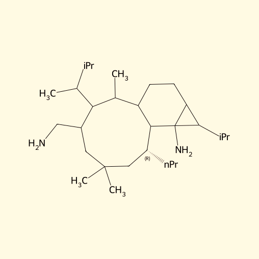 CCC[C@@H]1CC(C)(C)CC(CN)C(C(C)C(C)C)C(C)C2CCC3C(C(C)C)C3(N)C21